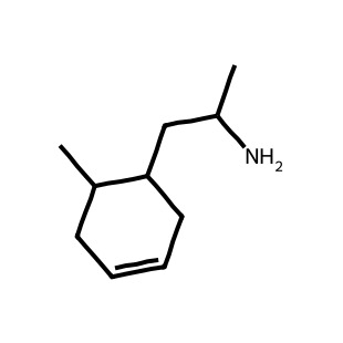 CC(N)CC1CC=CCC1C